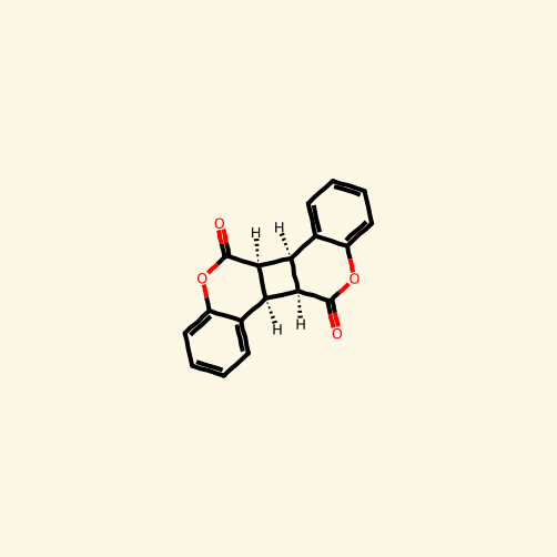 O=C1Oc2ccccc2[C@H]2[C@@H]1[C@H]1c3ccccc3OC(=O)[C@H]12